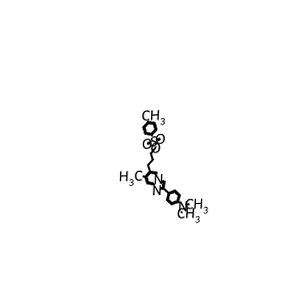 Cc1ccc(S(=O)(=O)OCCCc2cn3cc(-c4ccc(N(C)C)cc4)nc3cc2C)cc1